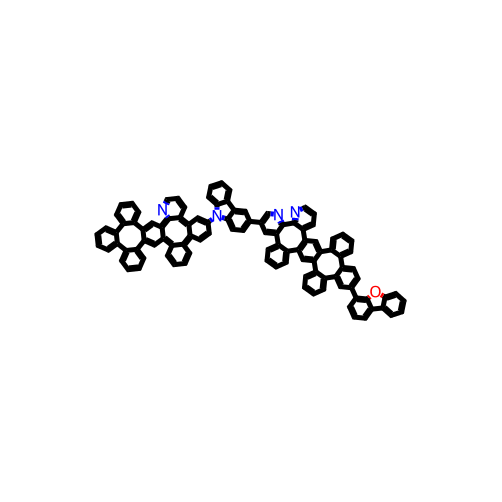 c1ccc2c(c1)oc1c(-c3ccc4c5ccccc5c5cc6c(cc5c5ccccc5c4c3)c3ccccc3c3cc(-c4ccc5c(c4)c4ccccc4n5-c4ccc5c7ccccc7c7cc8c9ccccc9c9ccccc9c9ccccc9c8cc7c7ncccc7c5c4)cnc3c3ncccc63)cccc12